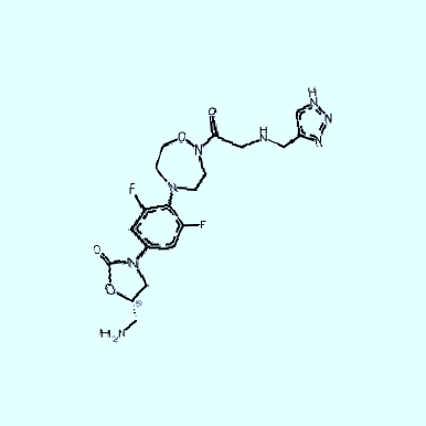 NC[C@H]1CN(c2cc(F)c(N3CCON(C(=O)CNCc4c[nH]nn4)CC3)c(F)c2)C(=O)O1